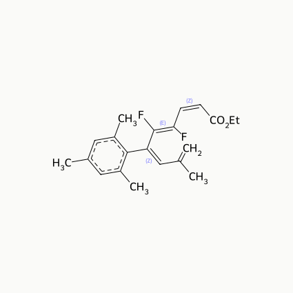 C=C(C)\C=C(/C(F)=C(F)/C=C\C(=O)OCC)c1c(C)cc(C)cc1C